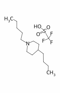 CCCCCN1CCC(CCCC)CC1.O=S(=O)(O)C(F)(F)F